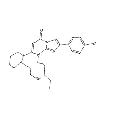 CCCCCn1c(N2CCCCC2CCO)cc(=O)n2cc(-c3ccc(Cl)cc3)nc12